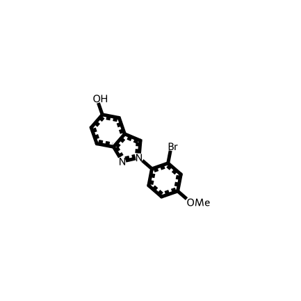 COc1ccc(-n2cc3cc(O)ccc3n2)c(Br)c1